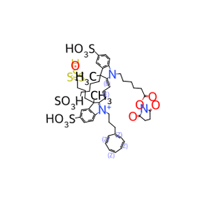 CC1(CCCC23S[SH]2(=O)S3)C(/C=C/C=C2/N(CCCCCC(=O)ON3C(=O)CCC3=O)c3ccc(S(=O)(=O)O)cc3C2(C)CCCCS(=O)(=O)O)=[N+](CCCC2=C/C=C\C=C/C=C\2)c2ccc(S(=O)(=O)O)cc21